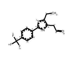 CCc1sc(-c2ccc(C(F)(F)F)cc2)nc1CC=O